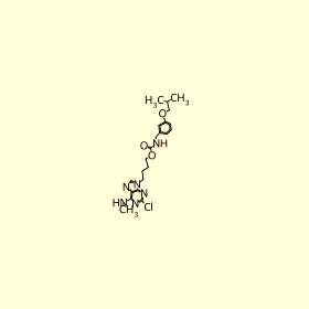 CNc1nc(Cl)nc2c1ncn2CCCCOC(=O)NCc1cccc(OCC(C)C)c1